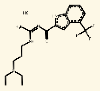 CCN(CC)CCCNC(N)=NC(=O)c1cc2c(C(F)(F)F)cccc2[nH]1.Cl